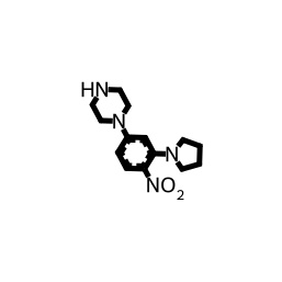 O=[N+]([O-])c1ccc(N2CCNCC2)cc1N1CCCC1